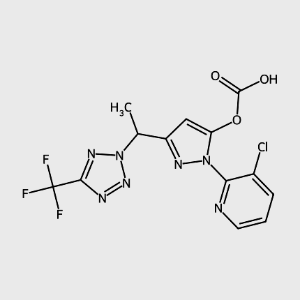 CC(c1cc(OC(=O)O)n(-c2ncccc2Cl)n1)n1nnc(C(F)(F)F)n1